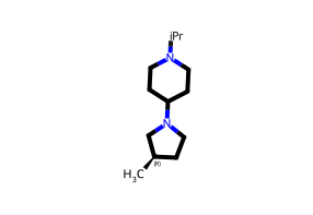 CC(C)N1CCC(N2CC[C@@H](C)C2)CC1